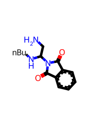 CCCCNC(CN)N1C(=O)c2ccccc2C1=O